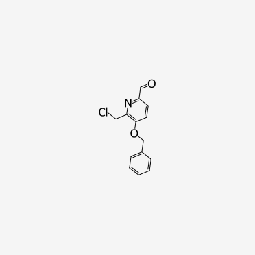 O=Cc1ccc(OCc2ccccc2)c(CCl)n1